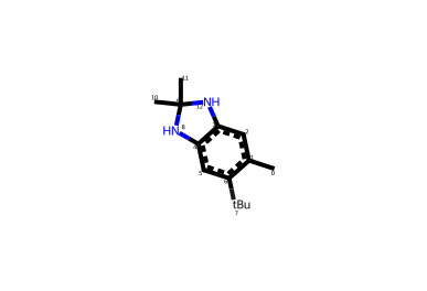 Cc1cc2c(cc1C(C)(C)C)NC(C)(C)N2